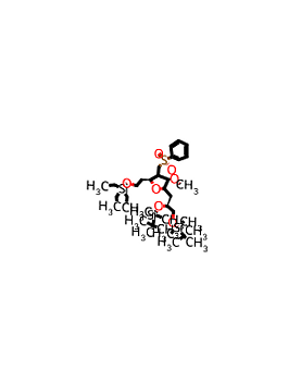 CC[Si](CC)(CC)OCC[C@@H]1OC(C[C@@H](CO[Si](C)(C)C(C)(C)C)O[Si](C)(C)C(C)(C)C)[C@H](OC)C1CS(=O)(=O)c1ccccc1